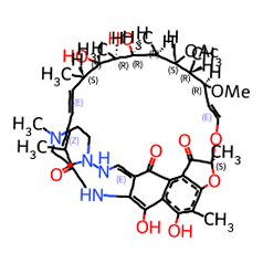 CO[C@H]1/C=C/O[C@@]2(C)Oc3c(C)c(O)c4c(c3C2=O)C(=O)/C(=C/NN2CCN(C)CC2)C(=C4O)NCC(=O)/C(C)=C\C=C\[C@H](C)[C@H](O)[C@@H](C)[C@@H](O)[C@@H](C)[C@H](OC(C)=O)[C@@H]1C